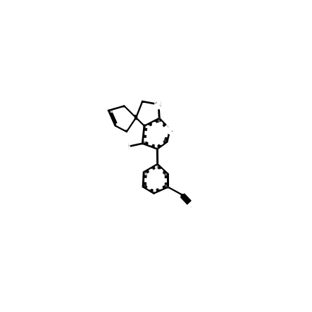 C#Cc1cccc(-c2cnc3c(c2Cl)C2(CC=CC2)CN3)c1